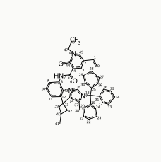 C=Cc1cc(C(=O)Nc2cccc(C3(c4ncn(C(c5ccccc5)(c5ccccc5)c5ccccc5)c4C)CC(C)C3)c2)c(=O)n(CC(F)(F)F)c1